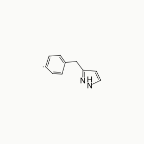 [c]1ccc(Cc2cc[nH]n2)cc1